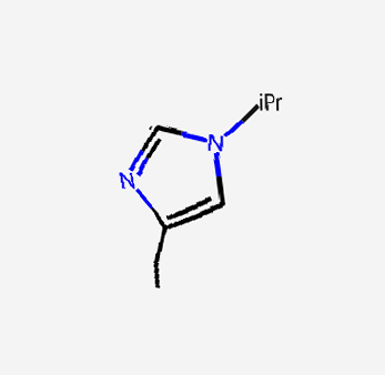 Cc1cn(C(C)C)[c]n1